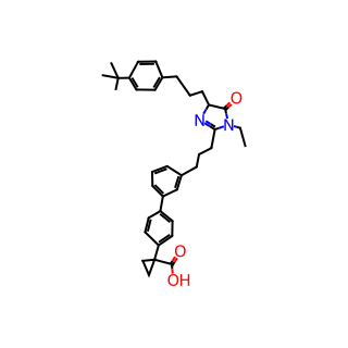 CCN1C(=O)C(CCCc2ccc(C(C)(C)C)cc2)N=C1CCCc1cccc(-c2ccc(C3(C(=O)O)CC3)cc2)c1